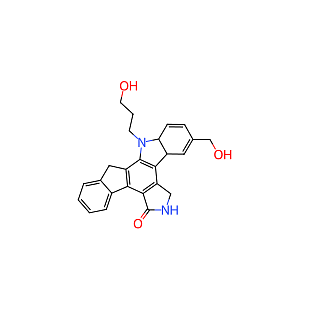 O=C1NCc2c1c1c(c3c2C2C=C(CO)C=CC2N3CCCO)Cc2ccccc2-1